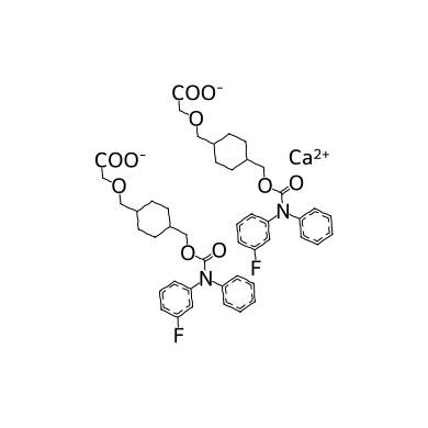 O=C([O-])COCC1CCC(COC(=O)N(c2ccccc2)c2cccc(F)c2)CC1.O=C([O-])COCC1CCC(COC(=O)N(c2ccccc2)c2cccc(F)c2)CC1.[Ca+2]